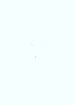 O=c1c2c(ccc3ccccc32)oc2ccc3ccccc3c12